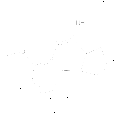 COc1cccc2c1N=C(N)C1CCCC21